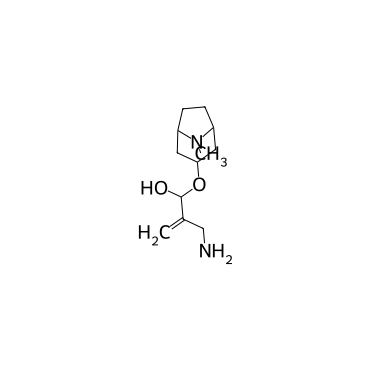 C=C(CN)C(O)OC1CC2CCC(C1)N2C